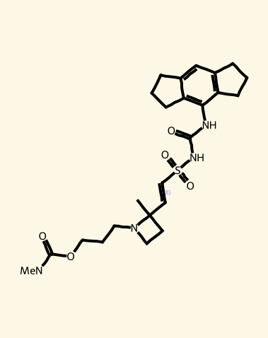 CNC(=O)OCCCN1CCC1(C)/C=C/S(=O)(=O)NC(=O)Nc1c2c(cc3c1CCC3)CCC2